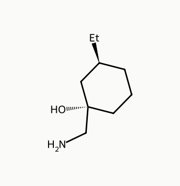 CC[C@H]1CCC[C@@](O)(CN)C1